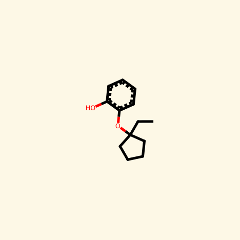 CCC1(Oc2ccccc2O)CCCC1